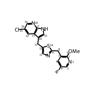 COc1ncc(F)cc1[CH]c1ncc(Cc2c[nH]c3ncc(Cl)cc23)s1